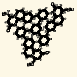 CC(C)(C)c1cc(=O)nc2c3ccc(-c4ccccc4-c4cc(-c5ccccc5-c5ccc6c(ccn7c(C(C)(C)C)cc(=O)nc67)c5)cc(-c5ccccc5-c5ccc6c(ccn7c(C(C)(C)C)cc(=O)nc67)c5)c4)cc3ccn12